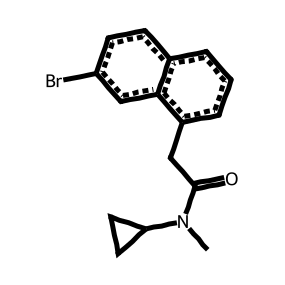 CN(C(=O)Cc1cccc2ccc(Br)cc12)C1CC1